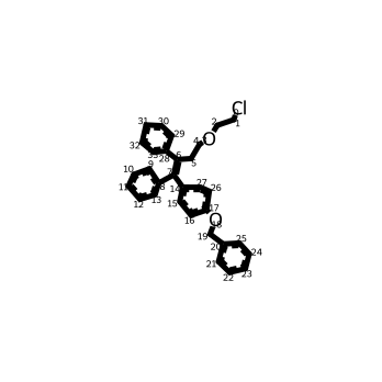 ClCCOCCC(=C(c1ccccc1)c1ccc(OCc2ccccc2)cc1)c1ccccc1